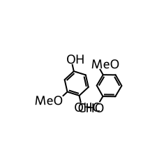 COc1cc(O)ccc1C=O.COc1cccc(C=O)c1